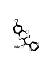 CCC(Oc1ccc(Cl)cc1Cl)C(OC)c1cnccn1